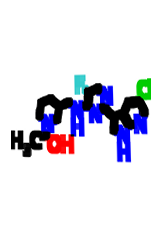 C[C@H](O)N1CCCC(CNc2nc(-c3c[nH]c4ncc(Cl)cc34)ncc2F)C1